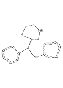 c1ccc(CC(c2ccccc2)C2CNCCO2)cc1